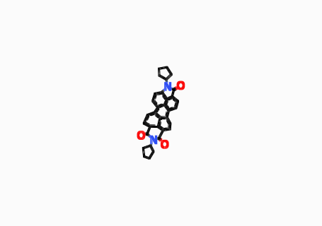 O=C1c2ccc3c4ccc5c6c(ccc(c7ccc(c2c37)C(=O)N1C1CCCC1)c64)N(C1CCCC1)C5=O